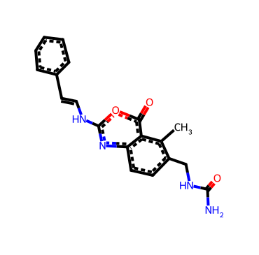 Cc1c(CNC(N)=O)ccc2nc(NC=Cc3ccccc3)oc(=O)c12